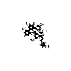 Cc1cc(-c2c(C)cc(F)cc2C)cc([C@H](CC(=O)O)NC(=O)[C@H](CC(C)C)n2cc(CCN3CC(C)(F)C3)nc(C)c2=O)c1F